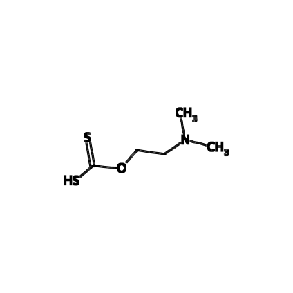 CN(C)CCOC(=S)S